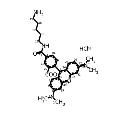 CN(C)c1ccc2c(-c3ccc(C(=O)NCCCCCN)cc3C(=O)[O-])c3ccc(=[N+](C)C)cc-3oc2c1.Cl